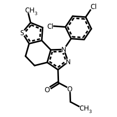 CCOC(=O)c1nn(-c2ccc(Cl)cc2Cl)c2c1CCc1sc(C)cc1-2